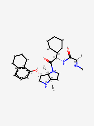 CN[C@@H](C)C(=O)N[C@H](C(=O)N1CC[C@H]2NC[C@H](Oc3cccc4c3CCCC4)[C@H]21)C1CCCCC1